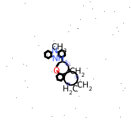 C=C1/C=C\CCC2(CC/C=C\C1=C)C(=C)/C=C\C(c1cccc(N(C)c3ccccc3N)c1)C=COc1ccccc12